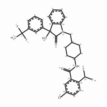 CC(F)(F)c1cccc(C2(O)C(=O)N(CC3CCC(NC(=O)c4cc(Cl)cnc4C(F)F)CC3)c3ccccc32)c1